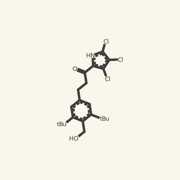 CC(C)(C)c1cc(CCC(=O)c2[nH]c(Cl)c(Cl)c2Cl)cc(C(C)(C)C)c1CO